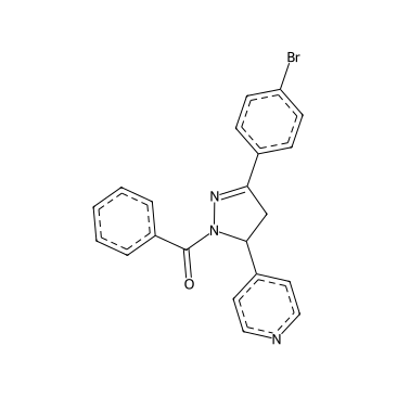 O=C(c1ccccc1)N1N=C(c2ccc(Br)cc2)CC1c1ccncc1